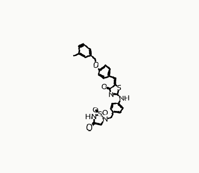 Cc1cccc(COc2ccc(C=C3SC(Nc4ccc(CN5CC(=O)NS5(=O)=O)cc4)=NC3=O)cc2)c1